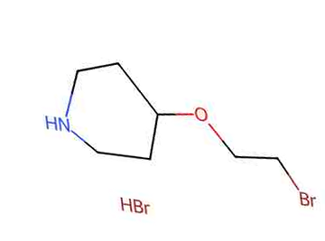 Br.BrCCOC1CCNCC1